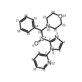 [O-][S+](c1nccn1-c1ccccn1)C(c1ccccc1)N1CCOCC1